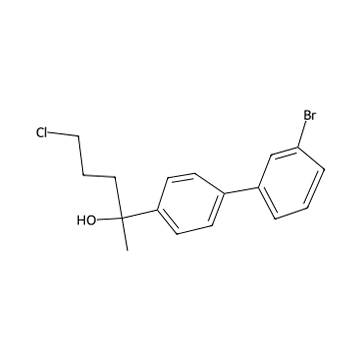 CC(O)(CCCCl)c1ccc(-c2cccc(Br)c2)cc1